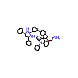 NC/C=C\C1=Cc2ccc(-c3cccc(C4NC(c5ccccc5)=CC(c5ccccc5)N4)c3)cc2C12c1ccccc1N(c1ccccc1)c1ccccc12